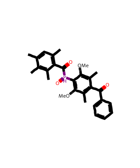 COc1c(C)c(C(=O)c2ccccc2)c(C)c(OC)c1[PH](=O)C(=O)c1c(C)cc(C)c(C)c1C